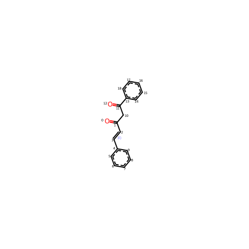 O=C(/C=C/c1ccccc1)CC(=O)c1ccccc1